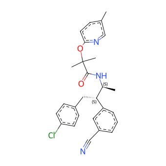 Cc1ccc(OC(C)(C)C(=O)N[C@@H](C)[C@@H](Cc2ccc(Cl)cc2)c2cccc(C#N)c2)nc1